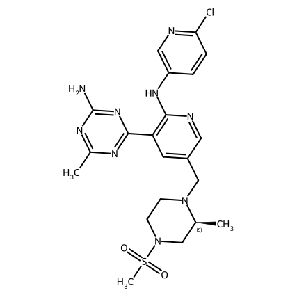 Cc1nc(N)nc(-c2cc(CN3CCN(S(C)(=O)=O)C[C@@H]3C)cnc2Nc2ccc(Cl)nc2)n1